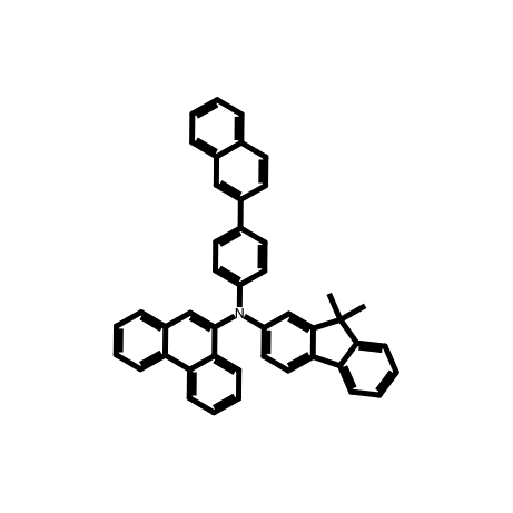 CC1(C)c2ccccc2-c2ccc(N(c3ccc(-c4ccc5ccccc5c4)cc3)c3cc4ccccc4c4ccccc34)cc21